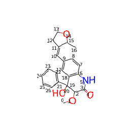 COC1C(=O)Nc2ccc(/C=C3/CCOC3C)cc2C1(O)c1ccccc1